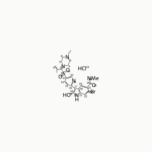 C=CC(N1CCN(C)CC1)S(=O)(=O)c1ccc(-c2c(O)[nH]c3cc(Br)c(C(=O)NC)cc23)nc1.Cl